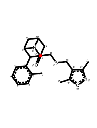 Cc1ccccc1C1CCC2CC1N2C(=O)CSCc1c(C)noc1C